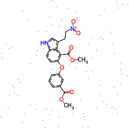 COC(=O)c1cccc(Oc2ccc3[nH]cc(CC[N+](=O)[O-])c3c2C(=O)OC)c1